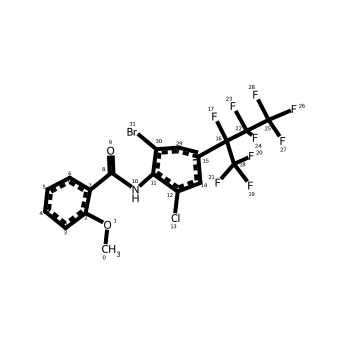 COc1ccccc1C(=O)Nc1c(Cl)cc(C(F)(C(F)(F)F)C(F)(F)C(F)(F)F)cc1Br